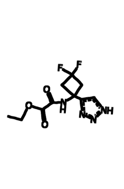 CCOC(=O)C(=O)NC1(c2c[nH]nn2)CC(F)(F)C1